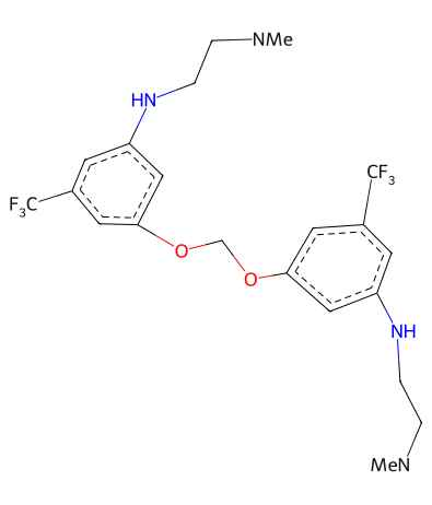 CNCCNc1cc(OCOc2cc(NCCNC)cc(C(F)(F)F)c2)cc(C(F)(F)F)c1